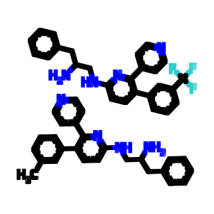 Cc1cccc(-c2ccc(NCC(N)Cc3ccccc3)nc2-c2ccncc2)c1.NC(CNc1ccc(-c2cccc(C(F)(F)F)c2)c(-c2ccncc2)n1)Cc1ccccc1